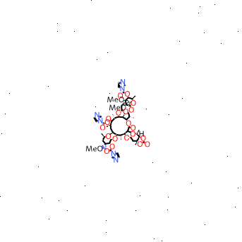 CON=C1C[C@@H](C)O[C@@H](O[C@@H]2[C@@H](C)[C@H](O[C@H]3C[C@@]4(C)OC(=O)O[C@H]4[C@H](C)O3)C(C)C(=O)O[C@H]([C@@H](C)COC3O[C@H](C)[C@@H](OC(=O)n4ccnc4)[C@@H](OC)[C@H]3OC)[C@H](C)[C@@H](OC(=O)CC(C)C)[C@@H](C)C(=O)[C@@](C)(OC(=O)n3ccnc3)C[C@@H]2C)[C@@H]1OC(=O)n1ccnc1